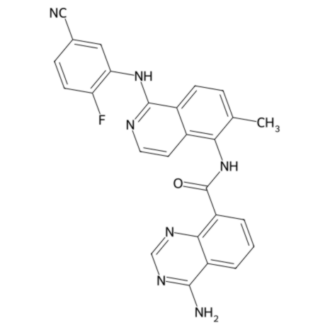 Cc1ccc2c(Nc3cc(C#N)ccc3F)nccc2c1NC(=O)c1cccc2c(N)ncnc12